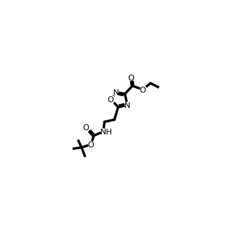 CCOC(=O)c1noc(CCNC(=O)OC(C)(C)C)n1